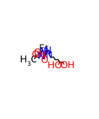 CCn1c(=O)n(CC(C)O)c(=O)c2c1ncn2CCCCC(O)CO